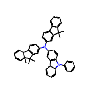 CC1(C)c2ccccc2-c2ccc(N(c3ccc4c(c3)C3C=CC=CC3N4c3ccccc3)c3ccc4c(c3)C(C)(C)C3(C)C=CC=CC43)cc21